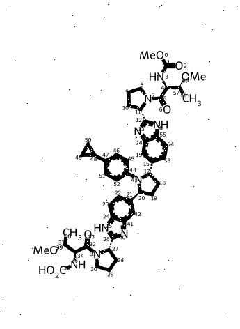 COC(=O)N[C@H](C(=O)N1CCC[C@H]1c1nc2cc([C@@H]3CC[C@@H](c4ccc5[nH]c([C@@H]6CCCN6C(=O)[C@@H](NC(=O)O)[C@@H](C)OC)nc5c4)N3c3ccc(C4CC4)cc3)ccc2[nH]1)[C@@H](C)OC